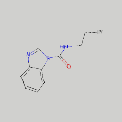 CC(C)CCNC(=O)n1cnc2ccccc21